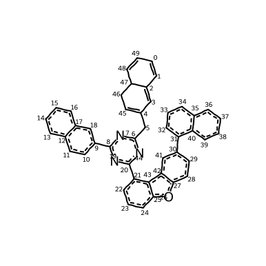 C1=CC2=CC(Cc3nc(-c4ccc5ccccc5c4)nc(-c4cccc5oc6ccc(-c7cccc8ccccc78)cc6c45)n3)=CCC2C=C1